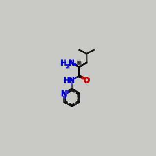 CC(C)C[C@H](N)C(=O)Nc1ccccn1